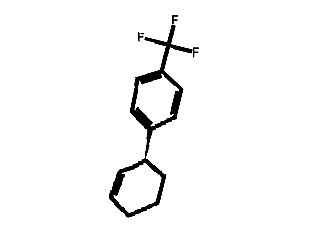 FC(F)(F)c1ccc([C@@H]2C=CCCC2)cc1